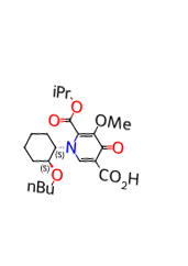 CCCCO[C@H]1CCCC[C@@H]1n1cc(C(=O)O)c(=O)c(OC)c1C(=O)OC(C)C